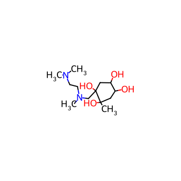 CN(C)CCN(C)CC1(O)CC(O)C(O)CC1(C)O